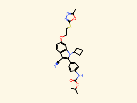 Cc1nnc(SCCOc2ccc3c(C#N)c(-c4ccc(NC(=O)OC(C)C)cc4)n(C4CCC4)c3c2)o1